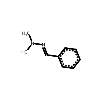 CN(C)N=Cc1ccccc1